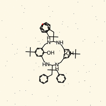 CC(C)(C)c1cc2c(O)c(c1)CNC(C(C)(Cc1ccccc1)Cc1ccccc1)NCc1cc(C(C)(C)C)cc(c1O)CNC(C(C)(Cc1ccccc1)Cc1ccccc1)NC2